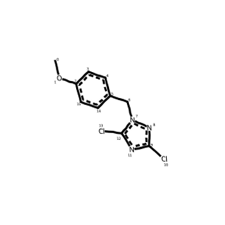 COc1ccc(Cn2nc(Cl)nc2Cl)cc1